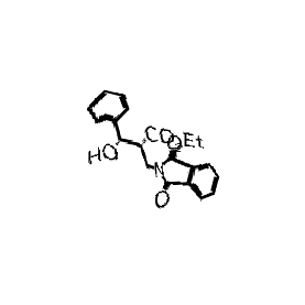 CCOC(=O)[C@H](CN1C(=O)c2ccccc2C1=O)[C@H](O)c1ccccc1